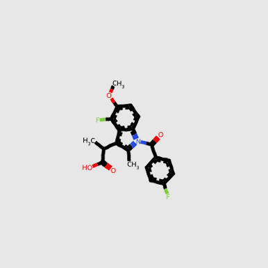 COc1ccc2c(c1F)c(C(C)C(=O)O)c(C)n2C(=O)c1ccc(F)cc1